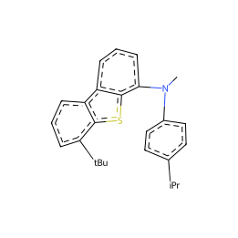 CC(C)c1ccc(N(C)c2cccc3c2sc2c(C(C)(C)C)cccc23)cc1